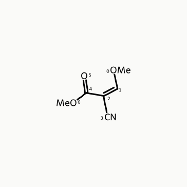 COC=C(C#N)C(=O)OC